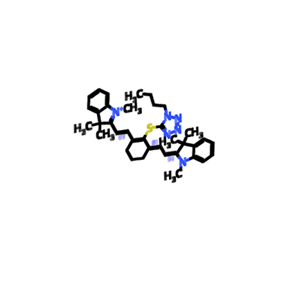 CCCCn1nnnc1SC1=C(/C=C/C2=[N+](C)c3ccccc3C2(C)C)CCC/C1=C\C=C1\N(C)c2ccccc2C1(C)C